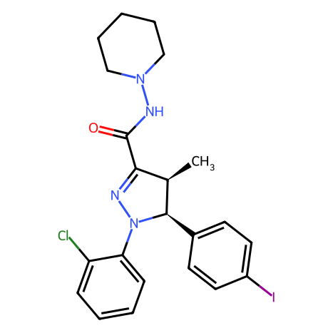 C[C@@H]1C(C(=O)NN2CCCCC2)=NN(c2ccccc2Cl)[C@@H]1c1ccc(I)cc1